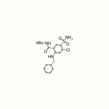 CCCCNC(=O)c1cc(S(N)(=O)=O)c(Cl)cc1NCc1ccccc1